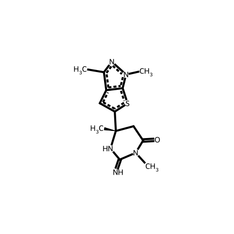 Cc1nn(C)c2sc([C@]3(C)CC(=O)N(C)C(=N)N3)cc12